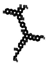 C=CCOCC(O)CN1CCN(CC(O)Cn2c(=O)n(CC(O)CN3CCN(C)CC3)c(=O)n(CC(O)CN3CCN(CC(O)Cn4c(=O)n(CC(O)CC)c(=O)n(CC(O)CN5CCNCC5)c4=O)CC3)c2=O)CC1